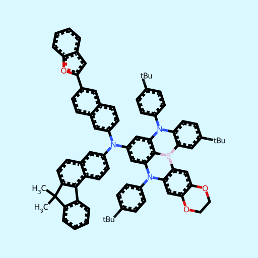 CC(C)(C)c1ccc(N2c3ccc(C(C)(C)C)cc3B3c4cc5c(cc4N(c4ccc(C(C)(C)C)cc4)c4cc(N(c6ccc7cc(-c8cc9ccccc9o8)ccc7c6)c6ccc7c8c(ccc7c6)C(C)(C)c6ccccc6-8)cc2c43)OCCO5)cc1